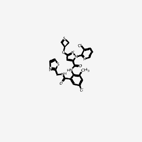 Cc1cc(Cl)cc(C(=O)NCc2nccs2)c1NC(=O)c1cc(OC2CSC2)nn1-c1ncccc1Cl